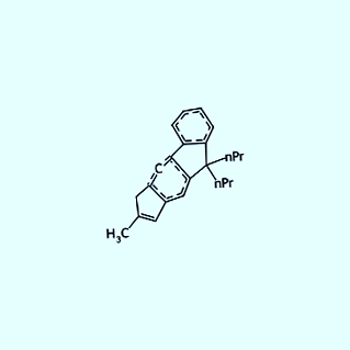 CCCC1(CCC)c2ccccc2-c2cc3c(cc21)C=C(C)C3